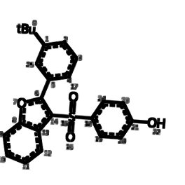 CC(C)(C)c1cccc(-c2oc3ccccc3c2S(=O)(=O)c2ccc(O)cc2)c1